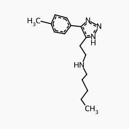 CCCCCNCCc1[nH]nnc1-c1ccc(C)cc1